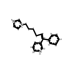 C(/CCCCn1ccnc1)=C(\c1ccccc1)c1cccnc1